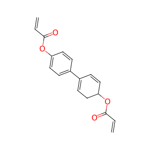 C=CC(=O)Oc1ccc(C2=CCC(OC(=O)C=C)C=C2)cc1